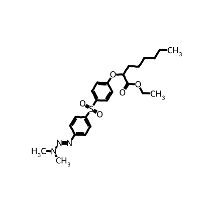 CCCCCCC(Oc1ccc(S(=O)(=O)c2ccc(N=NN(C)C)cc2)cc1)C(=O)OCC